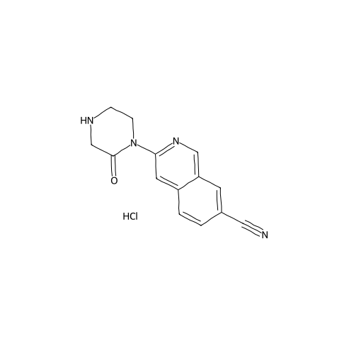 Cl.N#Cc1ccc2cc(N3CCNCC3=O)ncc2c1